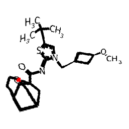 CO[C@H]1C[C@@H](Cn2cc(C(C)(C)C)s/c2=N\C(=O)C23CC4CC(CC(C4)O2)C3)C1